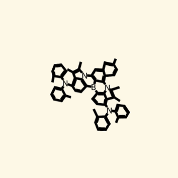 Cc1ccc2c3c4c(cc2c1)-n1c(C)c(C)c2c(N(c5ccccc5C)c5ccccc5C)ccc(c21)B4c1ccc(N(c2ccccc2C)c2ccccc2C)c2c(C)c(C)n-3c12